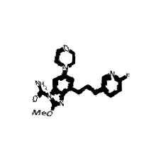 COc1nc2c(CCCc3ccc(F)nc3)cc(N3CCOCC3)cc2n1C(N)=O